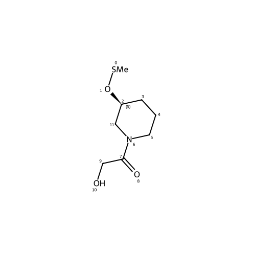 CSO[C@H]1CCCN(C(=O)CO)C1